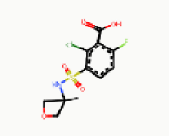 CC1(NS(=O)(=O)c2ccc(F)c(C(=O)O)c2Cl)COC1